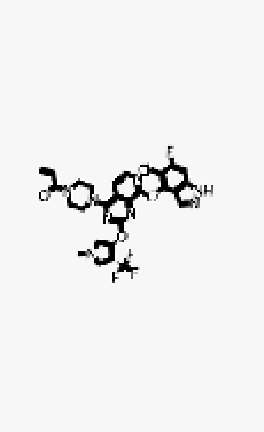 C=CC(=O)N1CCN(c2nc(O[C@@H]3CN(C)C[C@H]3C(F)(F)F)nc3c(Oc4c(Cl)c(F)cc5[nH]ncc45)nccc23)CC1